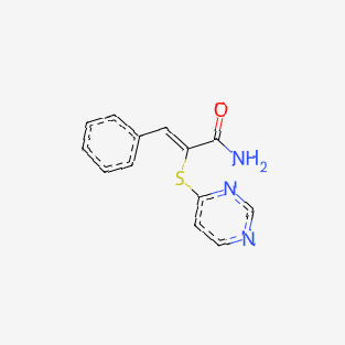 NC(=O)C(=Cc1ccccc1)Sc1ccncn1